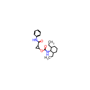 CCC1CCCC(CC)C1NC(=O)OC1CC1C(=O)Nc1ccccc1